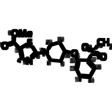 COC(=O)c1cnc(N2CCC(Oc3ccccc3S(C)(=O)=O)CC2)s1